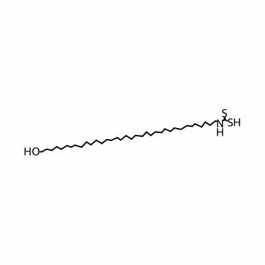 OCCCCCCCCCCCCCCCCCCCCCCCCCCCCCCCCCCCCNC(=S)S